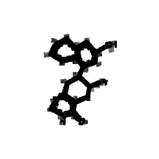 CC(C)C1Cc2c(nc[nH]c2=O)CC1c1cc(O)cc2ccccc12